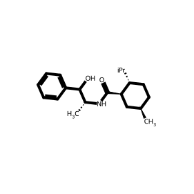 CC(C)[C@@H]1CC[C@@H](C)C[C@H]1C(=O)N[C@H](C)C(O)c1ccccc1